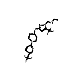 CCOCn1nc(OC2CCN(c3ccc(C(F)(F)F)cn3)CC2)cc1C(F)(F)F